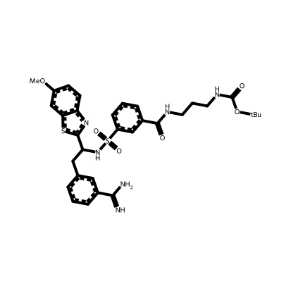 COc1ccc2nc(C(Cc3cccc(C(=N)N)c3)NS(=O)(=O)c3cccc(C(=O)NCCCNC(=O)OC(C)(C)C)c3)sc2c1